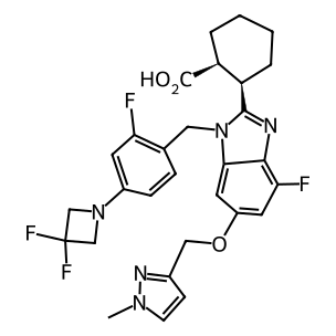 Cn1ccc(COc2cc(F)c3nc([C@@H]4CCCC[C@@H]4C(=O)O)n(Cc4ccc(N5CC(F)(F)C5)cc4F)c3c2)n1